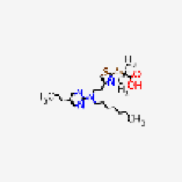 CCCCCCCN(CCc1csc(SC(C)(C)C(=O)O)n1)c1ncc(CCC)cn1